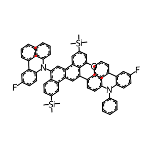 C[Si](C)(C)c1ccc2c(N(c3ccccc3)c3ccc(F)cc3-c3ccccc3)cc3c4cc([Si](C)(C)C)cc5c4c(cc3c2c1)-c1ccc(N(c2ccccc2)c2ccc(F)cc2-c2ccccc2)cc1O5